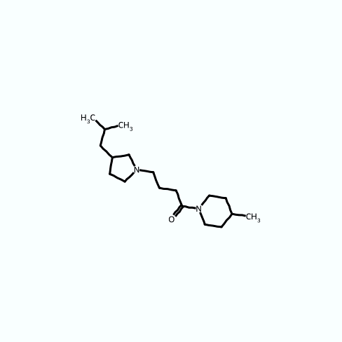 CC(C)CC1CCN(CCCC(=O)N2CCC(C)CC2)C1